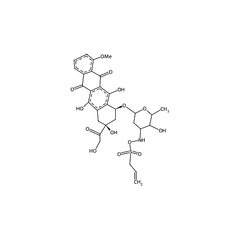 C=CCS(=O)(=O)ONC1CC(O[C@H]2C[C@](O)(C(=O)CO)Cc3c(O)c4c(c(O)c32)C(=O)c2c(OC)cccc2C4=O)OC(C)C1O